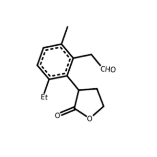 CCc1ccc(C)c(CC=O)c1C1CCOC1=O